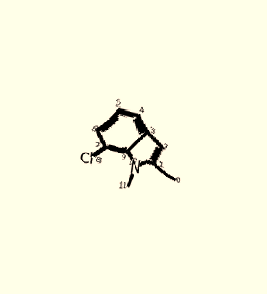 Cc1cc2cccc(Cl)c2n1C